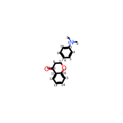 CN(C)c1ccc([C@H]2CC(=O)c3ccccc3O2)cc1